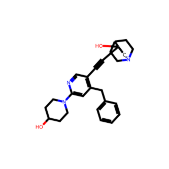 OC1CCN(c2cc(Cc3ccccc3)c(C#CC3(O)CN4CCC3CC4)cn2)CC1